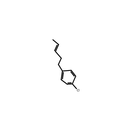 [CH2]C=CCCc1ccc(Cl)cc1